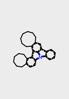 c1ccc2c(c1)c1cc3c(c4c5c6c(ccc5n2c14)CCCCCC6)CCCCCCC3